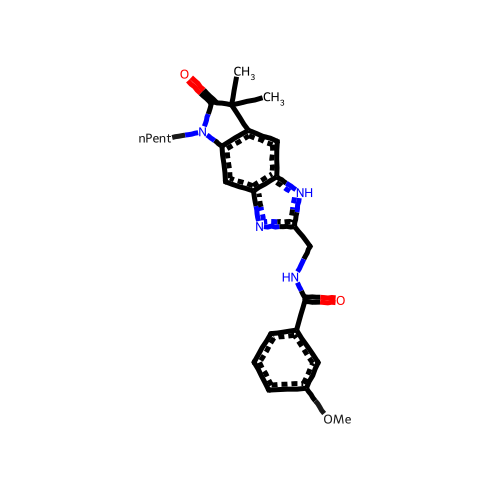 CCCCCN1C(=O)C(C)(C)c2cc3[nH]c(CNC(=O)c4cccc(OC)c4)nc3cc21